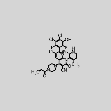 C=CC(=O)N1CCN(c2c(C#N)c(=O)n(C3=C(C)C=CN[C@@H]3C(C)C)c3nc(-c4c(F)c(O)c(Cl)c(Cl)c4F)c(Cl)cc23)CC1